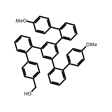 COc1ccc(-c2ccccc2-c2cc(-c3ccccc3-c3ccc(CO)cc3)cc(-c3ccccc3-c3ccc(OC)cc3)c2)cc1